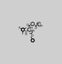 CCCN(CCC)C(=O)[C@@H]1CCCN(C(=O)N[C@@H](Cc2cc(F)cc(F)c2)[C@H](O)[C@H]2C[C@@H](OCc3ccccc3)CN2)C1